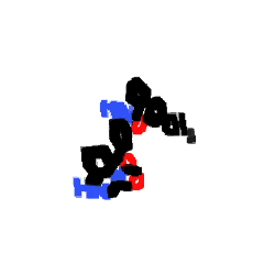 Cc1ccc(-c2ccccc2C(=O)Nc2ccc(C(=O)C3CC=CC4=CNC=C5COCCN5C43)cc2)cc1